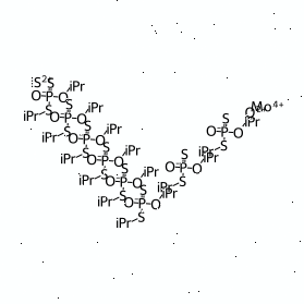 CC(C)OP([O-])(=S)SC(C)C.CC(C)OP([O-])(=S)SC(C)C.CC(C)OP([O-])(=S)SC(C)C.CC(C)OP([O-])(=S)SC(C)C.CC(C)OP([O-])(=S)SC(C)C.CC(C)OP([O-])(=S)SC(C)C.CC(C)OP([O-])(=S)SC(C)C.CC(C)OP([O-])(=S)SC(C)C.[Mo+4].[O+2].[S+2]